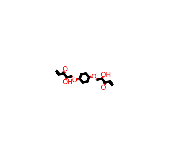 C=CC(=O)C(O)COC1CCC(OCC(O)C(=O)C=C)CC1